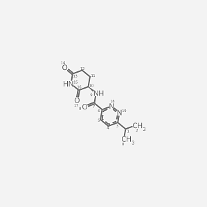 CC(C)c1ccc(C(=O)N[C@@H]2CCC(=O)NC2=O)nn1